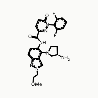 COCCn1cc2c(N3CC[C@@H](N)C3)c(NC(=O)c3ccc(=O)n(-c4c(F)cccc4F)n3)ccc2n1